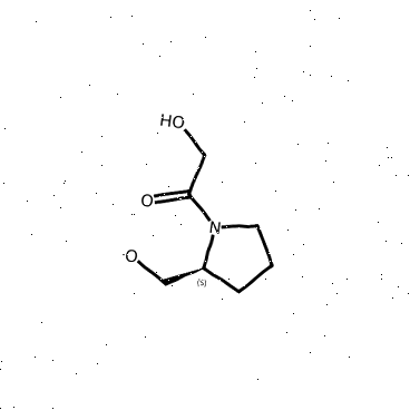 [O]C[C@@H]1CCCN1C(=O)CO